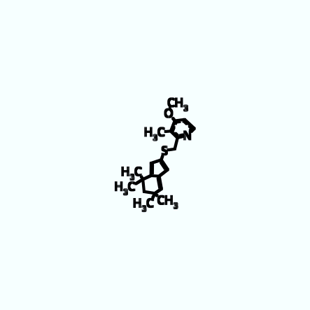 COc1ccnc(CSC2=CC3=CC(C)(C)CC(C)(C)C3=C2)c1C